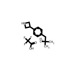 CC(C)(C)Cc1ccc(C2CNC2)cc1.O=C(O)C(F)(F)F